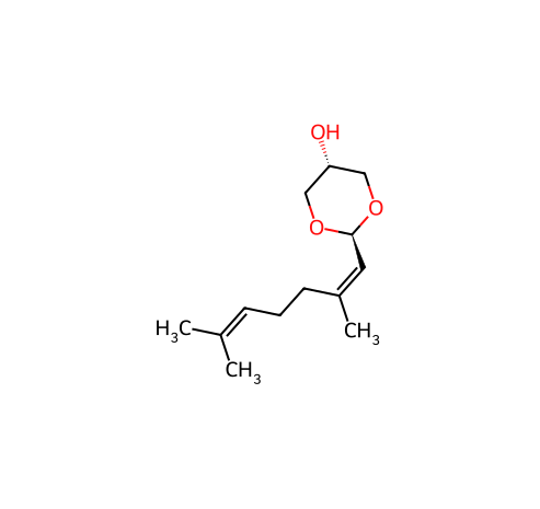 CC(C)=CCCC(C)=C[C@H]1OC[C@H](O)CO1